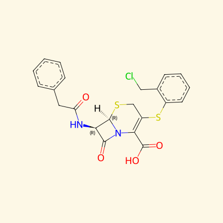 O=C(Cc1ccccc1)N[C@@H]1C(=O)N2C(C(=O)O)=C(Sc3ccccc3CCl)CS[C@H]12